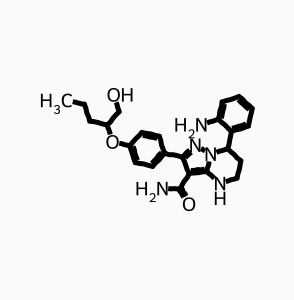 CCCC(CO)Oc1ccc(-c2nn3c(c2C(N)=O)NCCC3c2ccccc2N)cc1